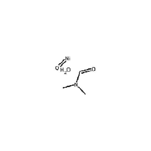 CN(C)C=O.O.[O]=[Ni]